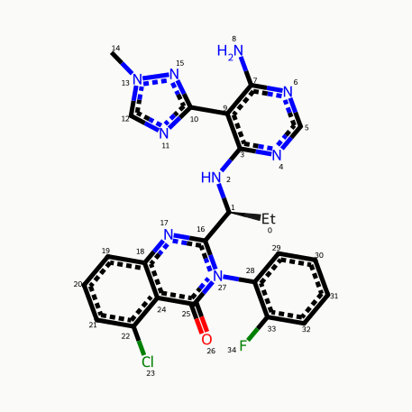 CC[C@H](Nc1ncnc(N)c1-c1ncn(C)n1)c1nc2cccc(Cl)c2c(=O)n1-c1ccccc1F